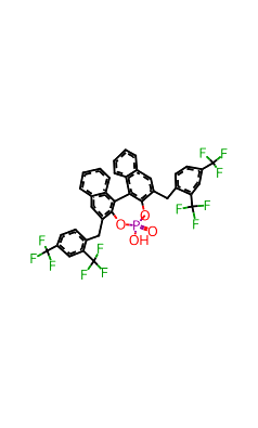 O=P1(O)Oc2c(Cc3ccc(C(F)(F)F)cc3C(F)(F)F)cc3ccccc3c2-c2c(c(Cc3ccc(C(F)(F)F)cc3C(F)(F)F)cc3ccccc23)O1